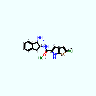 Cl.N[C@H]1c2ccccc2C[C@H]1NC(=O)c1cc2cc(Cl)sc2[nH]1